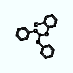 Clc1ccccc1OP(Oc1ccccc1)Oc1ccccc1